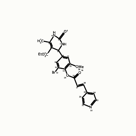 CCOC(=O)C1=C(C)NC(=O)NC1c1cc(Br)c(OC(=O)/C=C/c2ccncc2)c(OC)c1